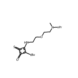 CCCN(C)CCOCCNc1c(C(C)(C)C)c(=O)c1=S